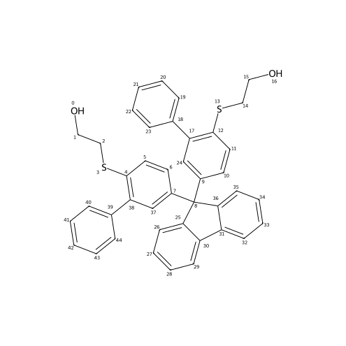 OCCSc1ccc(C2(c3ccc(SCCO)c(-c4ccccc4)c3)c3ccccc3-c3ccccc32)cc1-c1ccccc1